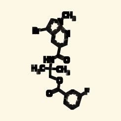 Cn1cc(Br)c2cc(C(=O)NC(C)(C)COC(=O)c3cccc(F)c3)cnc21